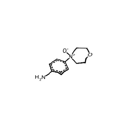 Nc1ccc([N+]2([O-])CCOCC2)cc1